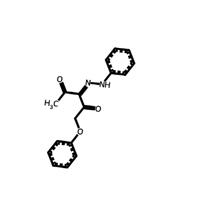 CC(=O)C(=NNc1ccccc1)C(=O)COc1ccccc1